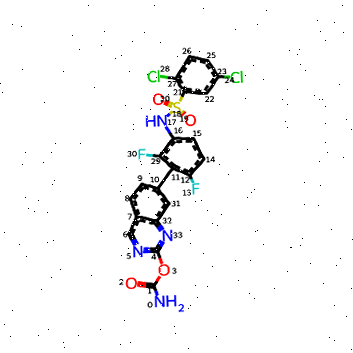 NC(=O)Oc1ncc2ccc(-c3c(F)ccc(NS(=O)(=O)c4cc(Cl)ccc4Cl)c3F)cc2n1